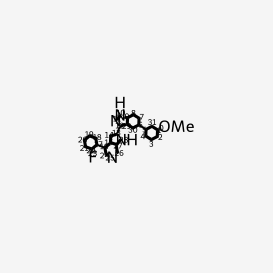 COc1cccc(-c2ccc3[nH]nc(-c4cc5c(-c6ccccc6F)cncc5[nH]4)c3c2)c1